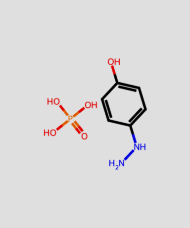 NNc1ccc(O)cc1.O=P(O)(O)O